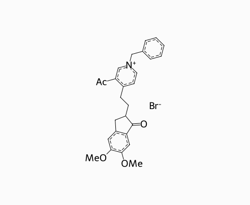 COc1cc2c(cc1OC)C(=O)C(CCc1cc[n+](Cc3ccccc3)cc1C(C)=O)C2.[Br-]